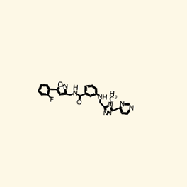 Cn1c(CNc2cccc(C(=O)NCc3cc(-c4ccccc4F)on3)c2)nnc1-c1ccncn1